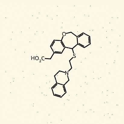 O=C(O)Cc1ccc2c(c1)C(SCCN1CCc3ccccc3C1)c1ccccc1CO2